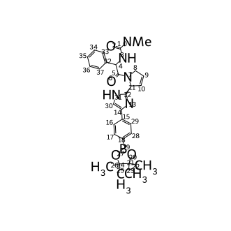 CNC(=O)NC(C(=O)N1CC=C[C@H]1c1nc(-c2ccc(B3OC(C)(C)C(C)(C)O3)cc2)c[nH]1)c1ccccc1